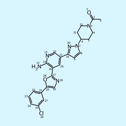 CC(=O)N1CCC(n2ccc(-c3cnc(N)c(-c4ncc(-c5cccc(Cl)c5)o4)c3)n2)CC1